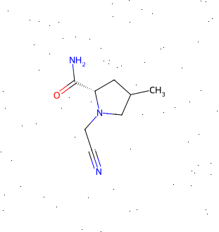 CC1C[C@@H](C(N)=O)N(CC#N)C1